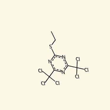 CCSc1nc(C(Cl)(Cl)Cl)nc(C(Cl)(Cl)Cl)n1